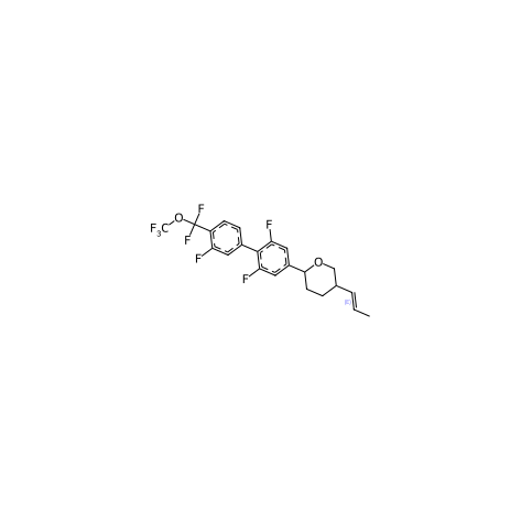 C/C=C/C1CCC(c2cc(F)c(-c3ccc(C(F)(F)OC(F)(F)F)c(F)c3)c(F)c2)OC1